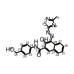 Cc1nsc(/N=N/c2c(O)c(C(=O)Nc3ccc(CO)cc3)cc3ccccc23)n1